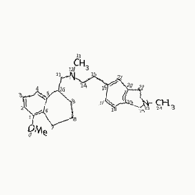 COc1cccc2c1CCCC2CN(C)CCc1ccc2c(c1)CN(C)C2